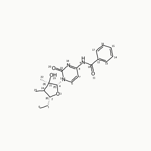 CC[C@H]1O[C@@H](n2ccc(NC(=O)c3ccccc3)nc2=O)[C@](C)(O)C1C